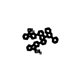 Cn1c2ccccc2c2ccc(-c3cccc4c(-c5cc(-c6ccccc6)cc6ccccc56)c5cccc(-c6ccc7c8ccccc8n(C)c7c6)c5cc34)cc21